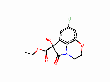 CCOC(=O)C1(O)C(=O)N2CCOc3cc(Cl)cc1c32